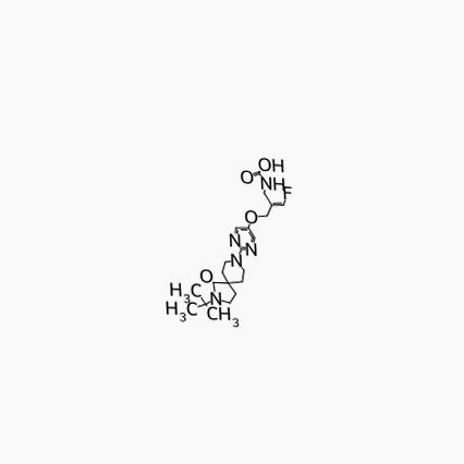 CC(C)(C)N1CCC2(CCN(c3ncc(OC/C(=C/F)CNC(=O)O)cn3)CC2)C1=O